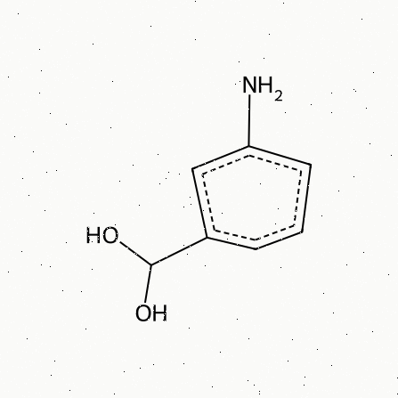 Nc1cccc(C(O)O)c1